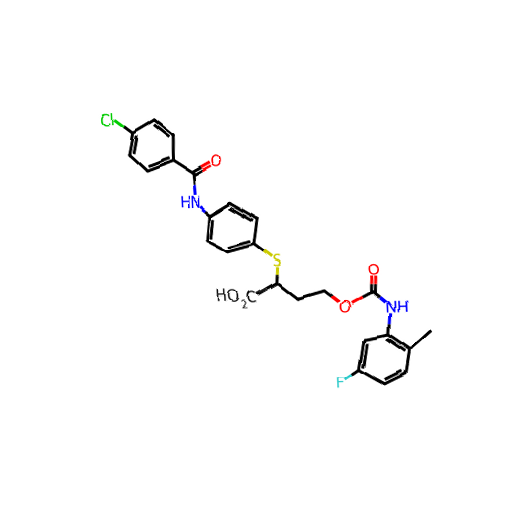 Cc1ccc(F)cc1NC(=O)OCCC(Sc1ccc(NC(=O)c2ccc(Cl)cc2)cc1)C(=O)O